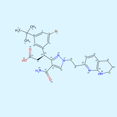 CC(C)(C)c1cc(Br)cc([C@H](CC(=O)O)c2nn(CCc3ccc4c(n3)NCCC4)cc2C(N)=O)c1